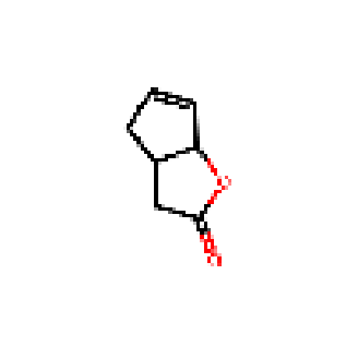 O=C1CC2CC=CC2O1